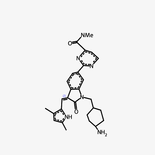 CNC(=O)c1ccnc(-c2ccc3c(c2)N(CC2CCC(N)CC2)C(=O)/C3=C\c2[nH]c(C)cc2C)n1